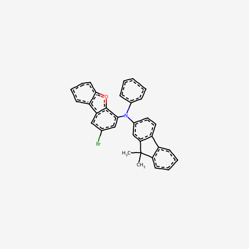 CC1(C)c2ccccc2-c2ccc(N(c3ccccc3)c3cc(Br)cc4c3oc3ccccc34)cc21